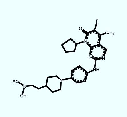 CC(=O)N(O)CCC1CCN(c2ccc(Nc3ncc4c(C)c(F)c(=O)n(C5CCCC5)c4n3)cc2)CC1